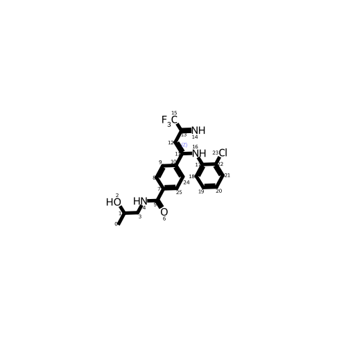 CC(O)CNC(=O)c1ccc(/C(=C/C(=N)C(F)(F)F)Nc2ccccc2Cl)cc1